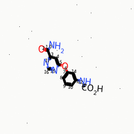 NC(=O)c1cc(Oc2cccc(NC(=O)O)c2)ncn1